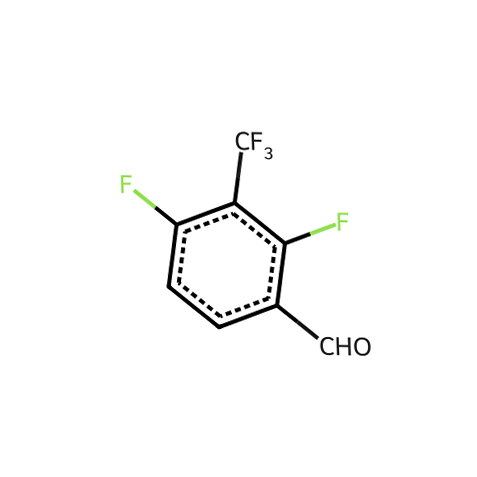 O=Cc1ccc(F)c(C(F)(F)F)c1F